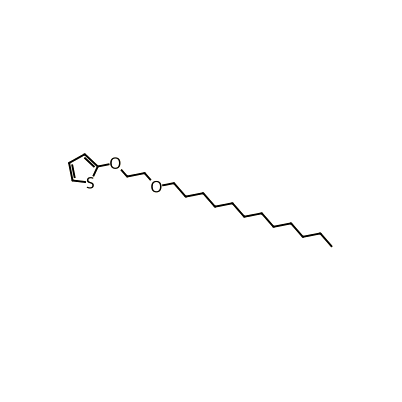 CCCCCCCCCCCCOCCOc1cccs1